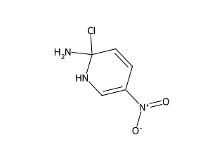 NC1(Cl)C=CC([N+](=O)[O-])=CN1